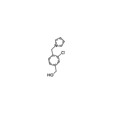 OCc1ccc(Cn2cccc2)c(Cl)c1